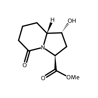 COC(=O)[C@@H]1C[C@@H](O)[C@H]2CCCC(=O)N21